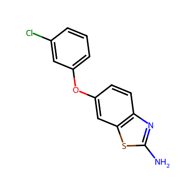 Nc1nc2ccc(Oc3cccc(Cl)c3)cc2s1